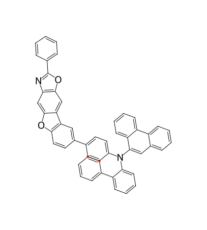 c1ccc(-c2nc3cc4oc5ccc(-c6ccc(N(c7ccccc7-c7ccccc7)c7cc8ccccc8c8ccccc78)cc6)cc5c4cc3o2)cc1